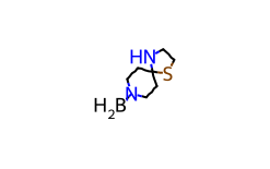 BN1CCC2(CC1)NCCS2